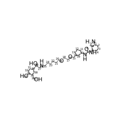 Nc1cccc(NC(=O)Nc2cccc(COCCOCCCCCCNC[C@@H](O)c3ccc(O)c(CO)c3)c2)c1